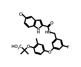 Cc1cc(Oc2cc(F)cc(CNC(=O)c3cc4cc(Cl)ccc4[nH]3)c2)ccc1OC(C)(C)C(=O)O